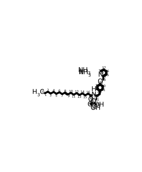 CCCCCCCCC=CCCCCCCCC(=O)N[C@H](COP(=O)(O)O)Cc1ccc(OCc2ccccn2)cc1.N.N